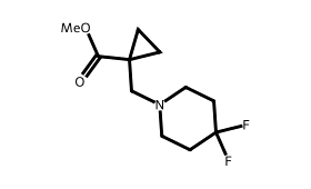 COC(=O)C1(CN2CCC(F)(F)CC2)CC1